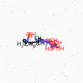 CCN1C(=CC=CC=CC=CC2=[N+](CCCCS(=O)(=O)O)c3ccccc3C2(C)C)C(C)(C)c2cc(CC(=O)NNC(=O)CN(CCN(CCN(CC(=O)O)CC(=O)O)CC(=O)O)CC(=O)O)ccc21